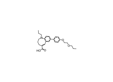 CCCOCCOc1ccc(-c2ccc3c(c2)C=C(C(=O)O)CCCN3CCC)cc1